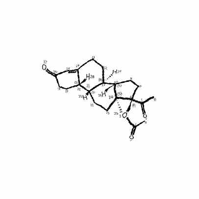 CC(=O)O[C@]1(C(C)=O)CC[C@H]2[C@@H]3CCC4=CC(=O)CC[C@H]4[C@H]3CC[C@@]21C